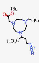 CC(C)(C)CN1CCN(CC(=O)OC(C)(C)C)CCN(C(CCN=[N+]=[N-])C(=O)O)CC1